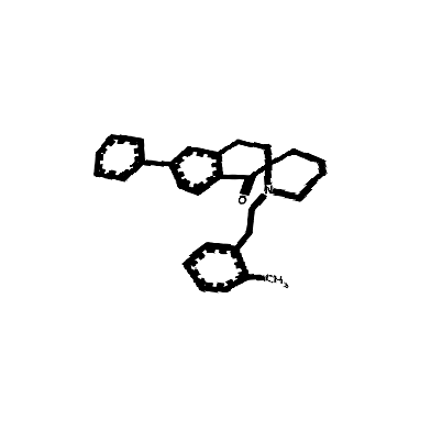 Cc1ccccc1CCN1CCCCC12CCc1cc(-c3ccccc3)ccc1C2=O